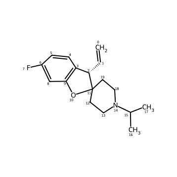 C=C[C@H]1c2ccc(F)cc2OC12CCN(C(C)C)CC2